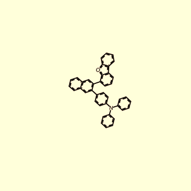 c1ccc(N(c2ccccc2)c2ccc(-c3cc4ccccc4cc3-c3cccc4c3oc3ccccc34)cc2)cc1